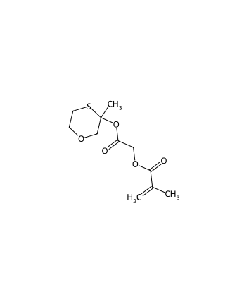 C=C(C)C(=O)OCC(=O)OC1(C)COCCS1